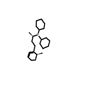 C[C@H](CCC1=C=CCC[C@@H]1C)P(C1CCCCC1)C1CCCCC1